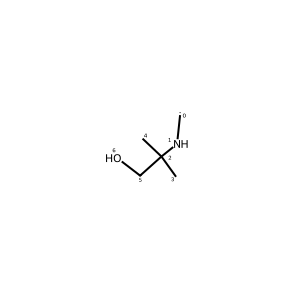 [CH2]NC(C)(C)CO